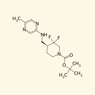 Cc1cnc(NC[C@@H]2CCN(C(=O)OC(C)(C)C)CC2(F)F)cn1